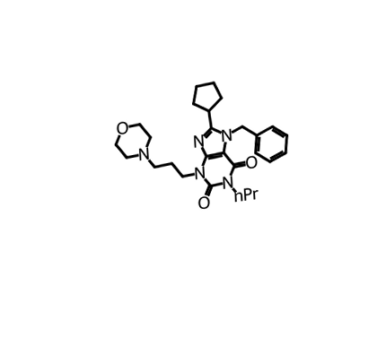 CCCn1c(=O)c2c(nc(C3CCCC3)n2Cc2ccccc2)n(CCCN2CCOCC2)c1=O